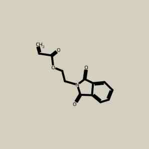 C=CC(=O)OCCN1C(=O)c2ccccc2C1=O